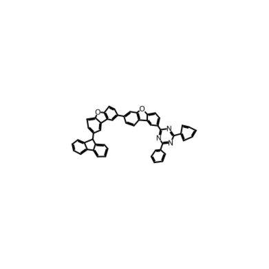 c1ccc(-c2nc(-c3ccccc3)nc(-c3ccc4oc5cc(-c6ccc7oc8ccc(C9c%10ccccc%10-c%10ccccc%109)cc8c7c6)ccc5c4c3)n2)cc1